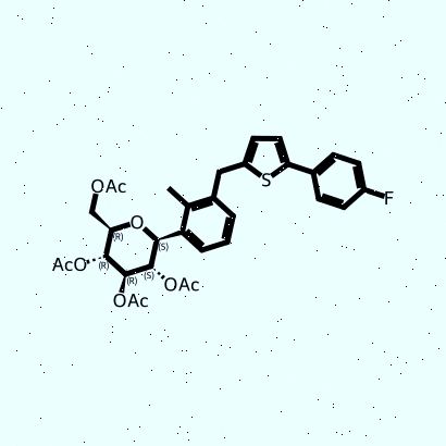 CC(=O)OC[C@H]1O[C@@H](c2cccc(Cc3ccc(-c4ccc(F)cc4)s3)c2C)[C@H](OC(C)=O)[C@@H](OC(C)=O)[C@@H]1OC(C)=O